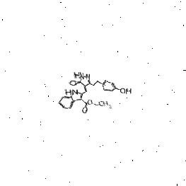 CCOC(=O)c1c(/C=C2\C(=O)NN=C2CCc2ccc(O)cc2)[nH]c2ccccc12